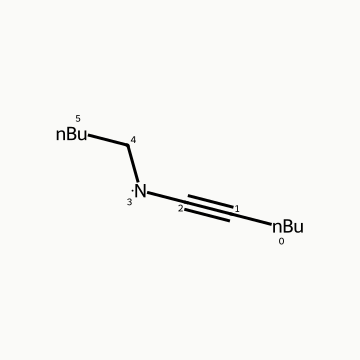 [CH2]CCCC#C[N]CCCCC